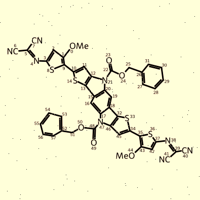 COc1cc(N=C(C#N)C#N)sc1-c1cc2c(s1)c1cc3c(cc1n2C(=O)OCc1ccccc1)c1sc(-c2sc(N=C(C#N)C#N)cc2OC)cc1n3C(=O)OCc1ccccc1